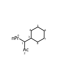 CCCC(C(C)=O)C1CCCCC1